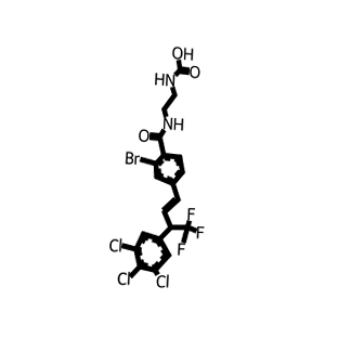 O=C(O)NCCNC(=O)c1ccc(C=CC(c2cc(Cl)c(Cl)c(Cl)c2)C(F)(F)F)cc1Br